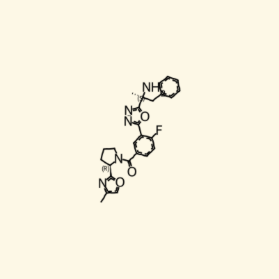 Cc1coc([C@H]2CCCN2C(=O)c2ccc(F)c(-c3nnc([C@@](C)(N)Cc4ccccc4)o3)c2)n1